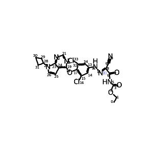 CCOC(=O)NC(=O)/C(C#N)=N/Nc1cc(Cl)c(Oc2ncnc3c2ccn3C2CCC2)c(Cl)c1